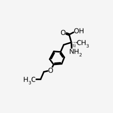 CCCOc1ccc(C[C@](C)(N)C(=O)O)cc1